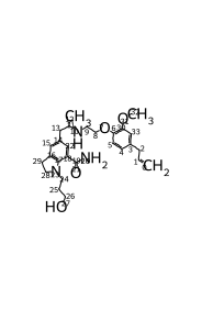 C=CCc1ccc(OCCN[C@H](C)Cc2cc3c(c(C(N)=O)c2)N(CCCO)CC3)c(OC)c1